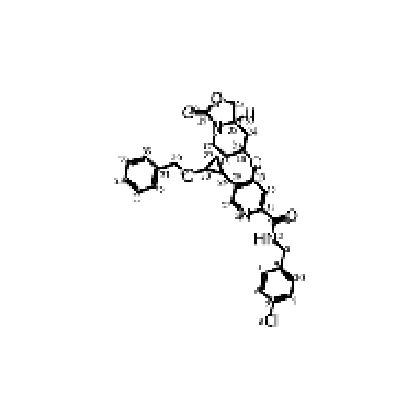 O=C(NCc1ccc(Cl)cc1)c1cc(O[C@H]2CCN3C(=O)OC[C@@H]3C2)c(C2CC2OCc2ccccc2)cn1